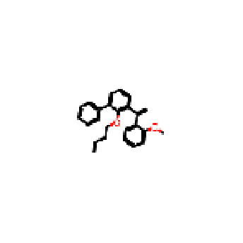 C=C(c1ccccc1OC)c1cccc(-c2ccccc2)c1OCCCC